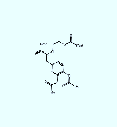 CCCC(C)C(=O)OC(C)CN[C@@H](Cc1ccc(OC(=O)C(C)(C)C)c(OC(=O)C(C)(C)C)c1)C(=O)OC